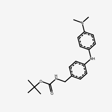 CN(C)c1ccc(Nc2ccc(CNC(=O)OC(C)(C)C)cc2)cc1